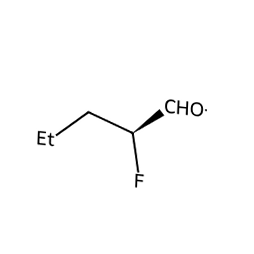 CCC[C@H](F)[C]=O